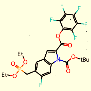 CCOP(=O)(Cc1cc2cc(C(=O)Oc3c(F)c(F)c(F)c(F)c3F)n(C(=O)OC(C)(C)C)c2cc1F)OCC